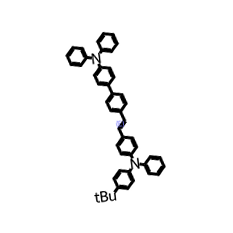 CC(C)(C)c1ccc(N(c2ccccc2)c2ccc(/C=C/c3ccc(-c4ccc(N(c5ccccc5)c5ccccc5)cc4)cc3)cc2)cc1